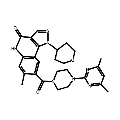 Cc1cc(C)nc(N2CCN(C(=O)c3cc4c(cc3C)[nH]c(=O)c3cnn(C5CCOCC5)c34)CC2)n1